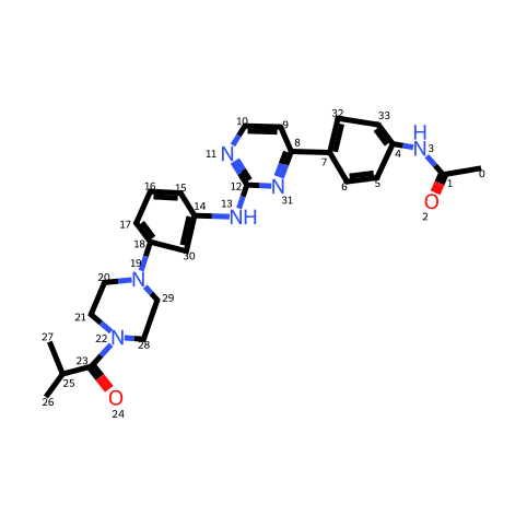 CC(=O)Nc1ccc(-c2ccnc(Nc3cccc(N4CCN(C(=O)C(C)C)CC4)c3)n2)cc1